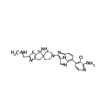 CNCc1nc2c(s1)[C@@H](N)C1(CCN(c3nc4ccc(-c5ccnc(N)c5Cl)c5ncc3n45)CC1)C2